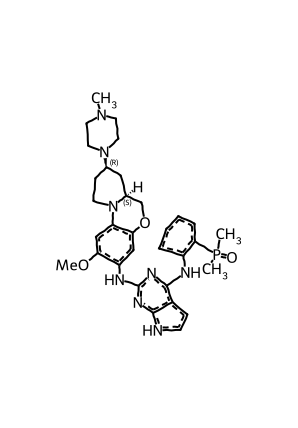 COc1cc2c(cc1Nc1nc(Nc3ccccc3P(C)(C)=O)c3cc[nH]c3n1)OC[C@@H]1C[C@H](N3CCN(C)CC3)CCN21